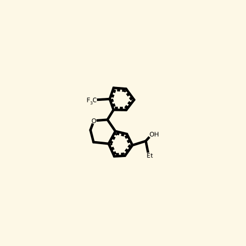 CCC(O)c1ccc2c(c1)C(c1ccccc1C(F)(F)F)OCC2